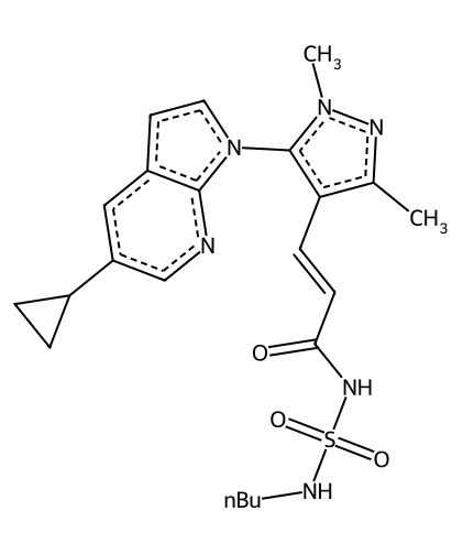 CCCCNS(=O)(=O)NC(=O)C=Cc1c(C)nn(C)c1-n1ccc2cc(C3CC3)cnc21